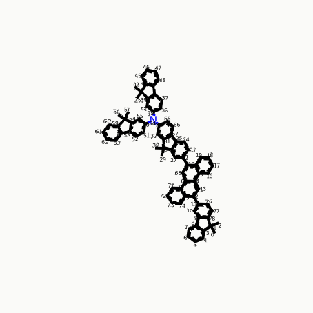 CC1(C)c2ccccc2-c2cc(-c3cc4c5ccccc5c(-c5ccc6c(c5)C(C)(C)c5cc(N(c7ccc8c(c7)C(C)(C)c7ccccc7-8)c7ccc8c(c7)C(C)(C)c7ccccc7-8)ccc5-6)cc4c4ccccc34)ccc21